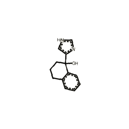 OC1(c2c[nH]cn2)CCCc2ccccc21